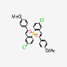 COc1ccc(/C=C/c2cc(Cl)ccc2S(=O)(=O)c2ccc(Cl)cc2/C=C/c2ccc(OC)cc2)cc1